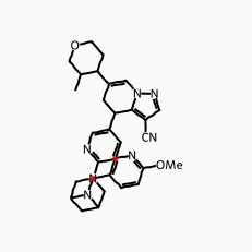 COc1ccc(CN2C3CC2CN(c2ccc(C4CC(C5CCOCC5C)=Cn5ncc(C#N)c54)cn2)C3)cn1